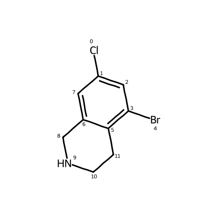 Clc1cc(Br)c2c(c1)CNCC2